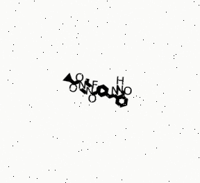 CC1CN(C(=O)c2cc(Cc3n[nH]c(=O)c4c3CCCC4)ccc2F)CCN1C(=O)C(=O)C1CC1